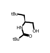 CC(C)(C)C[C@@H](CO)NC(=O)C(C)(C)C